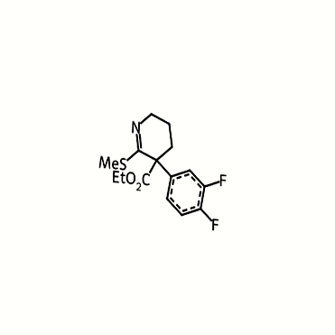 CCOC(=O)C1(c2ccc(F)c(F)c2)CCCN=C1SC